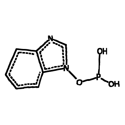 OP(O)On1cnc2ccccc21